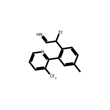 CCC(C=N)c1ccc(C)cc1-c1ncccc1C(F)(F)F